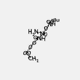 C=CCOC(=O)CCOCCOCCC(=O)NCCN(CCN)C(=O)CCOCCNC(=O)OC(C)(C)C